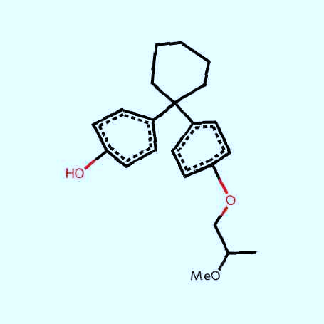 COC(C)COc1ccc(C2(c3ccc(O)cc3)CCCCC2)cc1